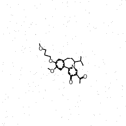 COCCCOc1cc2c(cc1OC)-c1cc(=O)c(C(C)=O)cn1C(C(C)C)CC2